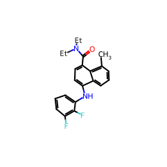 CCN(CC)C(=O)c1ccc(Nc2cccc(F)c2F)c2cccc(C)c12